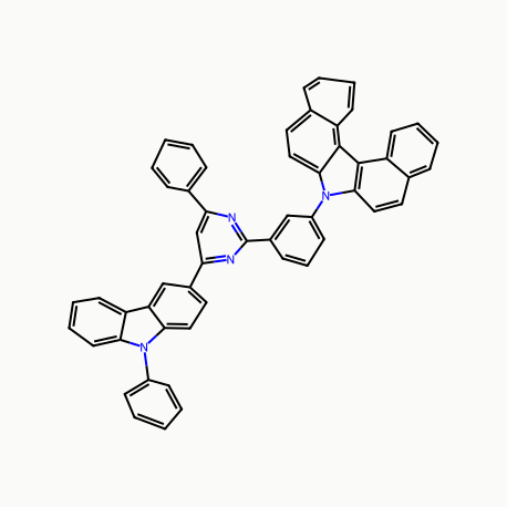 c1ccc(-c2cc(-c3ccc4c(c3)c3ccccc3n4-c3ccccc3)nc(-c3cccc(-n4c5ccc6ccccc6c5c5c6ccccc6ccc54)c3)n2)cc1